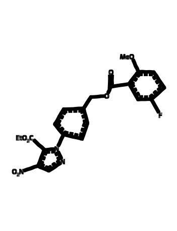 CCOC(=O)c1c([N+](=O)[O-])cnn1-c1ccc(COC(=O)c2cc(F)ccc2OC)cc1